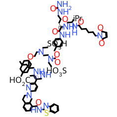 C/C(NCC12CC3(C)CC(C)(C1)CC(OCCN(CCN(CCS(=O)(=O)O)C(=O)OCc1ccc(NC(=O)[C@H](CCCNC(N)=O)NC(=O)C(NC(=O)CCCCCN4C(=O)C=CC4=O)C(C)C)cc1)CCS(=O)(=O)O)(C3)C2)=C(/C=N)c1ccc(N2CCc3cccc(C(=O)Nc4nc5ccccc5s4)c3C2)nc1C(=O)O